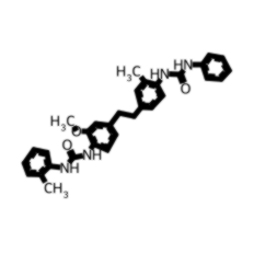 COc1cc(CCc2ccc(NC(=O)Nc3ccccc3)c(C)c2)ccc1NC(=O)Nc1ccccc1C